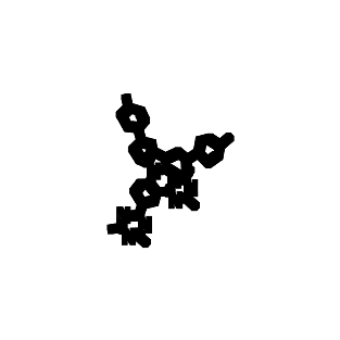 Cc1ccc(-c2ccc3c(c2)c2cc(-c4ccc(C)cc4)ccc2n3-c2ccc(-c3nc(C)nc(C)n3)cc2-c2nc(C)nc(C)n2)cc1